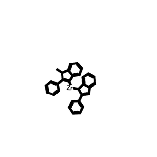 CC1C(c2ccccc2)=[C]([Zr][CH]2C(c3ccccc3)=Cc3ccccc32)c2ccccc21